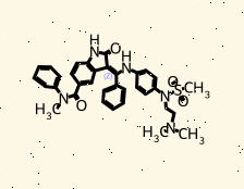 CN(C)CCN(c1ccc(N/C(=C2\C(=O)Nc3ccc(C(=O)N(C)c4ccccc4)cc32)c2ccccc2)cc1)S(C)(=O)=O